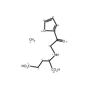 C.O=C(O)CCC(NCC(=O)c1ccco1)C(=O)O